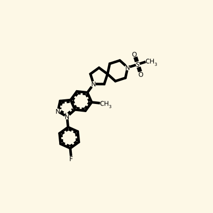 Cc1cc2c(cnn2-c2ccc(F)cc2)cc1N1CCC2(CCN(S(C)(=O)=O)CC2)C1